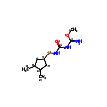 COC(=N)NC(=O)NSC1CC(C)C(C)C1